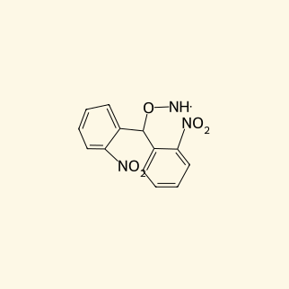 [NH]OC(c1ccccc1[N+](=O)[O-])c1ccccc1[N+](=O)[O-]